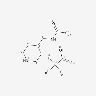 O=C(NCC1CCNCC1)C(F)(F)F.O=C(O)C(F)(F)F